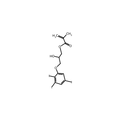 C=C(C)C(=O)OCC(O)COc1cc(I)cc(I)c1I